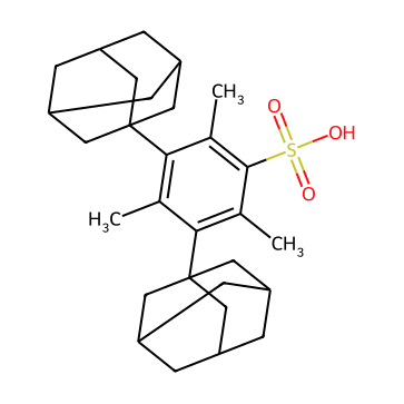 Cc1c(C23CC4CC(CC(C4)C2)C3)c(C)c(S(=O)(=O)O)c(C)c1C12CC3CC(CC(C3)C1)C2